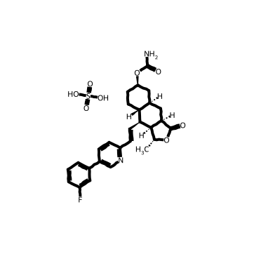 C[C@H]1OC(=O)[C@@H]2C[C@@H]3C[C@H](OC(N)=O)CC[C@H]3[C@H](/C=C/c3ccc(-c4cccc(F)c4)cn3)[C@H]12.O=S(=O)(O)O